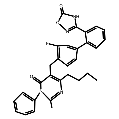 CCCCc1nc(C)n(-c2ccccc2)c(=O)c1Cc1ccc(-c2ccccc2-c2noc(=O)[nH]2)cc1F